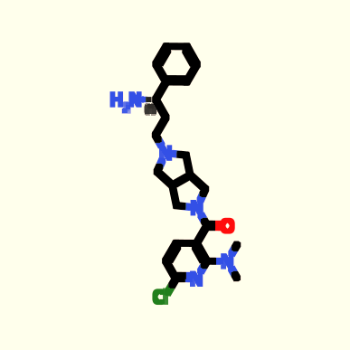 CN(C)c1nc(Cl)ccc1C(=O)N1CC2CN(CC[C@H](N)c3ccccc3)CC2C1